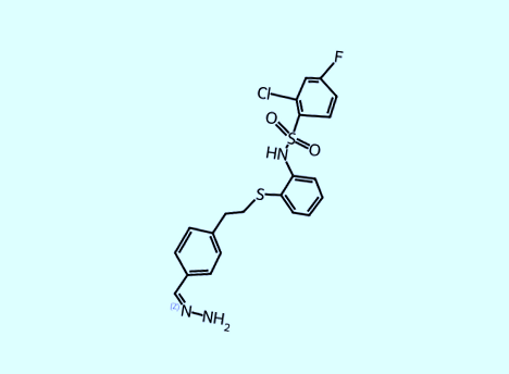 N/N=C\c1ccc(CCSc2ccccc2NS(=O)(=O)c2ccc(F)cc2Cl)cc1